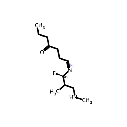 CCCC(=O)CC/C=N\[C@H](F)C(C)CNC